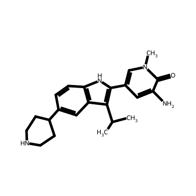 CC(C)c1c(-c2cc(N)c(=O)n(C)c2)[nH]c2ccc(C3CCNCC3)cc12